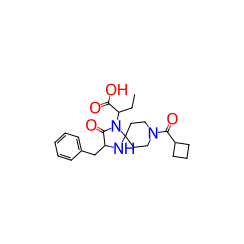 CCC(C(=O)O)N1C(=O)C(Cc2ccccc2)NC12CCN(C(=O)C1CCC1)CC2